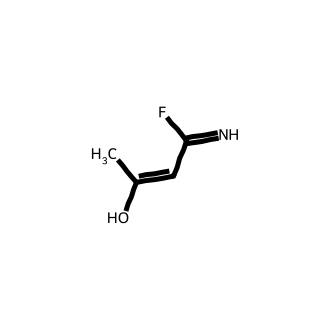 C/C(O)=C\C(=N)F